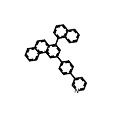 c1cncc(-c2ccc(-c3cc(-c4cccc5ccccc45)c4ccc5ccccc5c4c3)cc2)c1